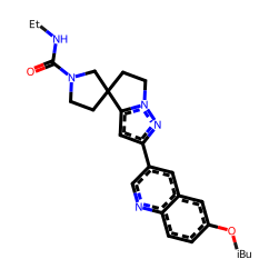 CCNC(=O)N1CCC2(CCn3nc(-c4cnc5ccc(OC(C)CC)cc5c4)cc32)C1